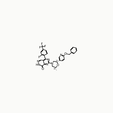 C[C@@H]1CN(c2nc(-c3ccc(C(F)(F)F)cc3F)c3cn[nH]c(=O)c3n2)C[C@H](c2ccc(OCc3ccccc3)nc2)O1